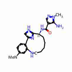 CNc1ccc2c(c1)NCCCCC[C@H](NC(=O)c1cnn(C)c1N)c1nc-2c[nH]1